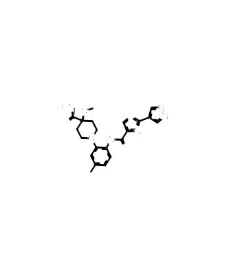 CNC1(C(N)=O)CCN(c2cc(C)ccc2NC(=O)c2csc(-c3cn[nH]c3)n2)CC1